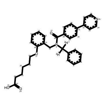 [2H]C([2H])(c1ccccc1)N(Cc1ccccc1OCCCCCC(=O)O)C(=O)c1ccc(-c2ccncc2)cc1